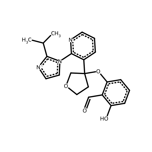 CC(C)c1nccn1-c1ncccc1C1(Oc2cccc(O)c2C=O)CCOC1